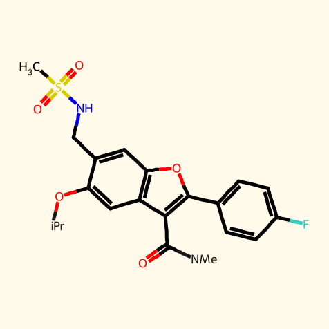 CNC(=O)c1c(-c2ccc(F)cc2)oc2cc(CNS(C)(=O)=O)c(OC(C)C)cc12